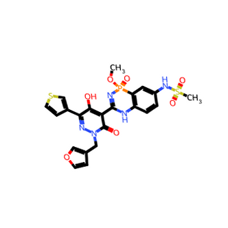 COP1(=O)N=C(c2c(O)c(-c3ccsc3)nn(Cc3ccoc3)c2=O)Nc2ccc(NS(C)(=O)=O)cc21